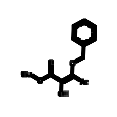 CC(=O)/C(OCc1ccccc1)=C(\O)C(=O)OC(C)(C)C